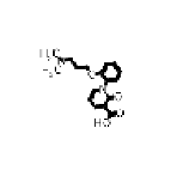 CN(C)CCCOc1ccccc1-n1cccc(C(=O)O)c1=O